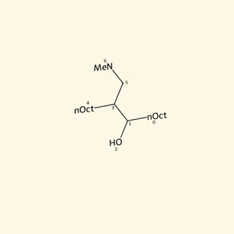 CCCCCCCCC(O)C(CCCCCCCC)CNC